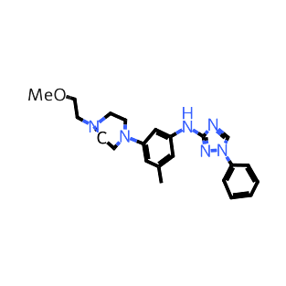 COCCN1CCN(c2cc(C)cc(Nc3ncn(-c4ccccc4)n3)c2)CC1